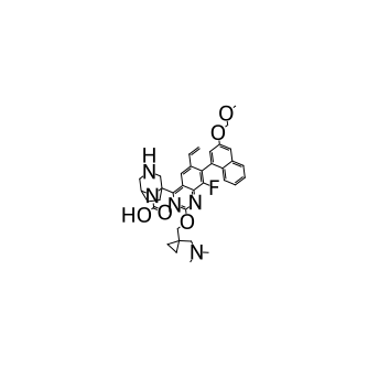 C=Cc1cc2c(C34CCC(CNC3)N4C(=O)O)nc(OCC3(CN(C)C)CC3)nc2c(F)c1-c1cc(OCOC)cc2ccccc12